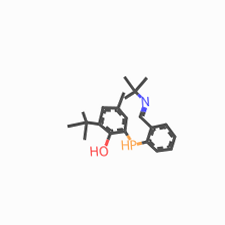 Cc1cc(Pc2ccccc2/C=N/C(C)(C)C)c(O)c(C(C)(C)C)c1